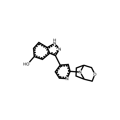 Oc1ccc2[nH]nc(-c3ccnc(N4C5CCC4COC5)c3)c2c1